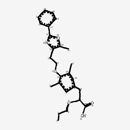 CCCOC(Cc1cc(C)c(OCCc2nc(-c3ccccc3)oc2C)c(C)c1)C(=O)O